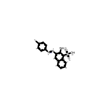 Nc1c(/N=N/c2ccc(I)cc2)cc2ccccc2c1S(=O)(=O)O